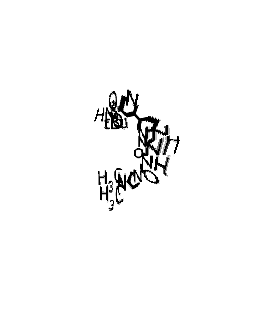 CN(C)[C@H]1CCN(C(=O)CNC(=O)Nc2nc3ccc(-c4cncc(S(=O)(=O)NC(C)(C)C)c4)cn3n2)C1